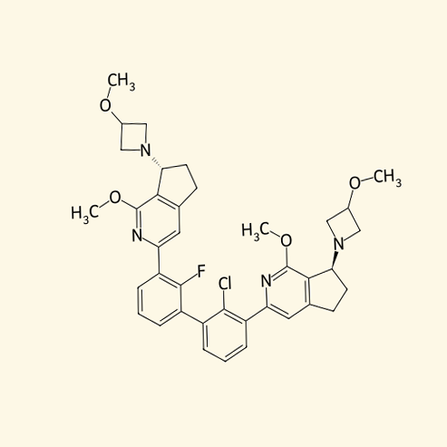 COc1nc(-c2cccc(-c3cccc(-c4cc5c(c(OC)n4)[C@@H](N4CC(OC)C4)CC5)c3Cl)c2F)cc2c1[C@H](N1CC(OC)C1)CC2